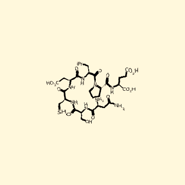 CC(C)C[C@H](NC(=O)[C@H](CC(=O)O)NC(=O)[C@H](CS)NC(=O)[C@H](CO)NC(=O)[C@@H](N)CC(N)=O)C(=O)N1CCC[C@H]1C(=O)N[C@@H](CCC(=O)O)C(=O)O